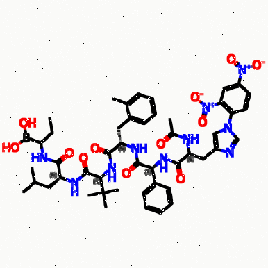 CCC(NC(=O)[C@H](CC(C)C)NC(=O)[C@@H](NC(=O)[C@H](Cc1ccccc1C)NC(=O)[C@@H](NC(=O)[C@H](Cc1cn(-c2ccc([N+](=O)[O-])cc2[N+](=O)[O-])cn1)NC(C)=O)c1ccccc1)C(C)(C)C)B(O)O